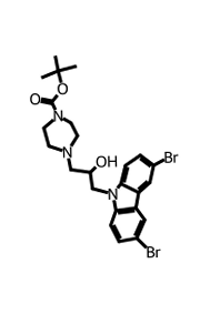 CC(C)(C)OC(=O)N1CCN(CC(O)Cn2c3ccc(Br)cc3c3cc(Br)ccc32)CC1